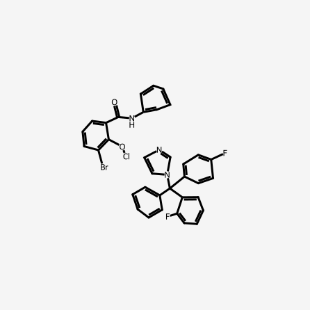 Fc1ccc(C(c2ccccc2)(c2ccccc2F)n2ccnc2)cc1.O=C(Nc1ccccc1)c1cccc(Br)c1OCl